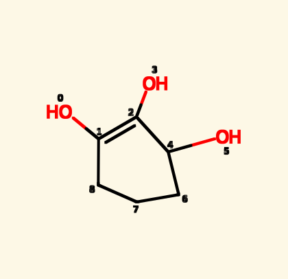 OC1=C(O)C(O)CCC1